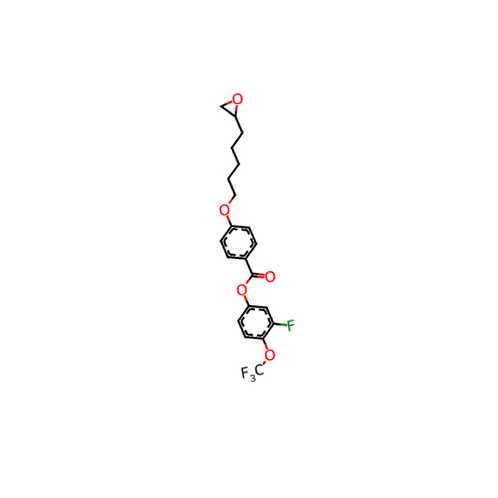 O=C(Oc1ccc(OC(F)(F)F)c(F)c1)c1ccc(OCCCCCC2CO2)cc1